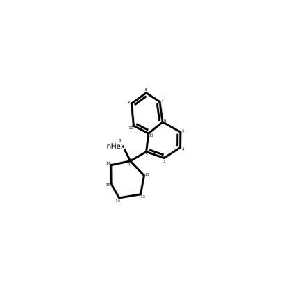 [CH2]CCCCCC1(c2cccc3ccccc23)CCCCC1